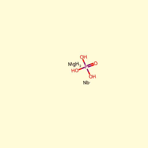 O=P(O)(O)O.[MgH2].[Nb]